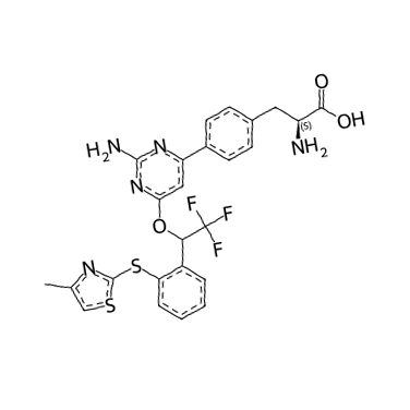 Cc1csc(Sc2ccccc2C(Oc2cc(-c3ccc(C[C@H](N)C(=O)O)cc3)nc(N)n2)C(F)(F)F)n1